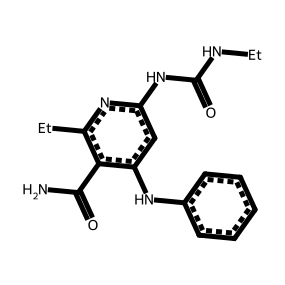 CCNC(=O)Nc1cc(Nc2ccccc2)c(C(N)=O)c(CC)n1